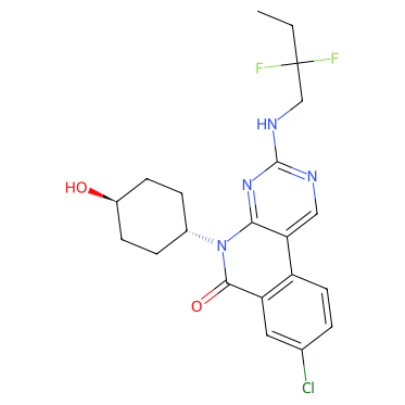 CCC(F)(F)CNc1ncc2c3ccc(Cl)cc3c(=O)n([C@H]3CC[C@H](O)CC3)c2n1